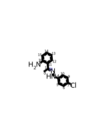 C/C(=N\Nc1ccc(Cl)cc1)c1ccccc1N